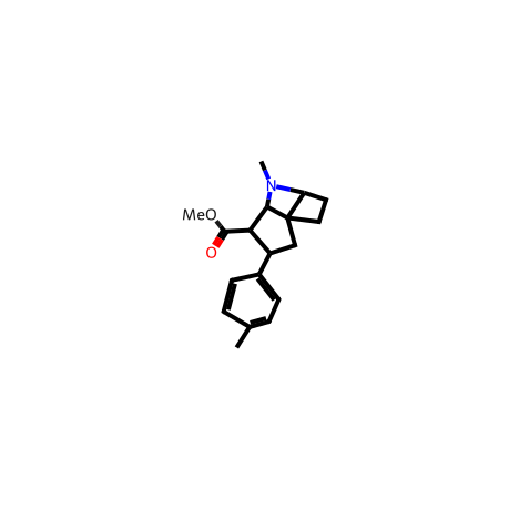 COC(=O)C1C(c2ccc(C)cc2)CC23CCC2N(C)C13